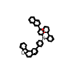 c1ccc(-c2ccccc2N(c2ccc(-c3ccc4ccccc4c3)cc2)c2ccc(-c3ccc4ccc5oc6ccccc6c5c4c3)cc2)cc1